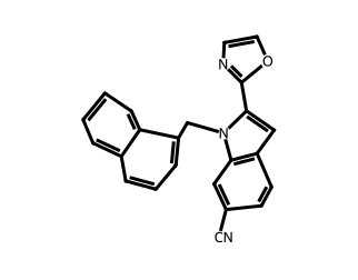 N#Cc1ccc2cc(-c3ncco3)n(Cc3cccc4ccccc34)c2c1